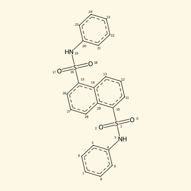 O=S(=O)(Nc1ccccc1)c1cccc2c(S(=O)(=O)Nc3ccccc3)cccc12